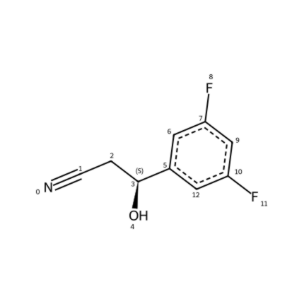 N#CC[C@H](O)c1cc(F)cc(F)c1